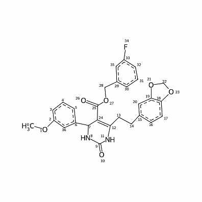 COc1cccc(C2NC(=O)NC(CCc3ccc4c(c3)OCO4)=C2C(=O)OCc2cccc(F)c2)c1